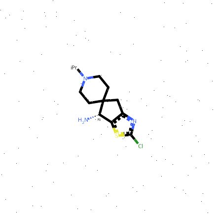 CC(C)N1CCC2(CC1)Cc1nc(Cl)sc1[C@@H]2N